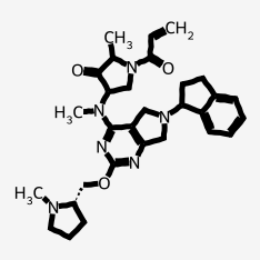 C=CC(=O)N1CC(N(C)c2nc(OC[C@@H]3CCCN3C)nc3c2CN(C2CCc4ccccc42)C3)C(=O)C1C